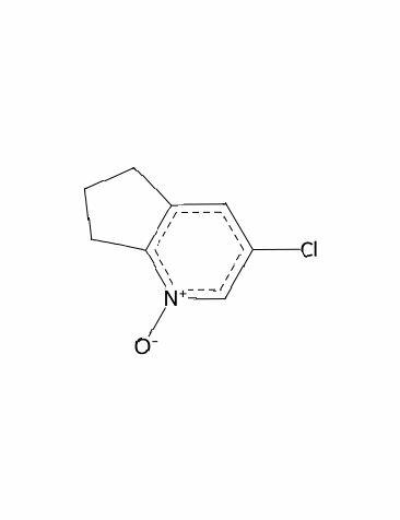 [O-][n+]1cc(Cl)cc2c1CCC2